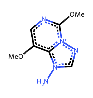 COc1cnc(OC)[n+]2ncn(N)c12